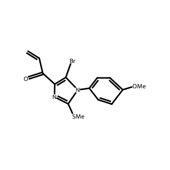 C=CC(=O)c1nc(SC)n(-c2ccc(OC)cc2)c1Br